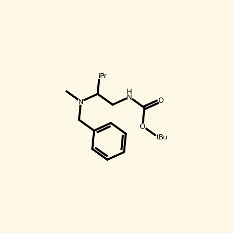 CC(C)C(CNC(=O)OC(C)(C)C)N(C)Cc1ccccc1